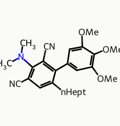 CCCCCCCc1cc(C#N)c(N(C)C)c(C#N)c1-c1cc(OC)c(OC)c(OC)c1